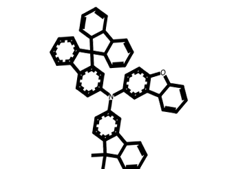 CC1(C)c2ccc(N(c3ccc4c(c3)C3C=CC=CC3O4)c3ccc4c(c3)C3(c5ccccc5-4)C4C=CC=CC4C4C=CC=CC43)cc2C2C=CC=CC21